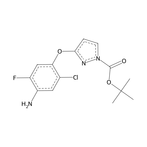 CC(C)(C)OC(=O)n1ccc(Oc2cc(F)c(N)cc2Cl)n1